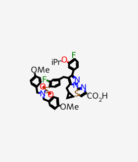 COc1ccc(CN(Cc2ccc(OC)cc2)S(=O)(=O)c2ccc(Cc3c(-c4ccc(F)c(OC(C)C)c4)nn(-c4nc(C(=O)O)cs4)c3CC3CC3)cc2F)cc1